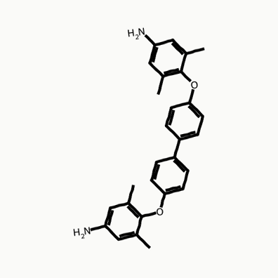 Cc1cc(N)cc(C)c1Oc1ccc(-c2ccc(Oc3c(C)cc(N)cc3C)cc2)cc1